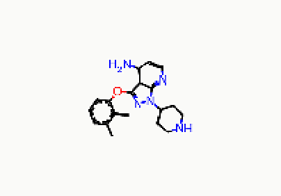 Cc1cccc(OC2=NN(C3CCNCC3)C3=NC=CC(N)C23)c1C